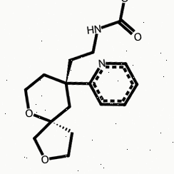 CC(C)(C)OC(=O)NCC[C@]1(c2ccccn2)CCO[C@@]2(CCOC2)C1